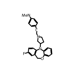 CNc1ccc(CCN2CCC(N3c4ccc(F)cc4COc4ccccc43)C2)cc1